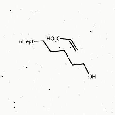 C=CC(=O)O.CCCCCCCCCCCCO